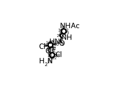 CC(=O)Nc1ccc2[nH]c(C(=O)NCc3ccc(Cl)c(Oc4cc(N)cc(Cl)c4)c3F)cc2c1